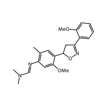 COc1ccccc1C1=NOC(c2cc(C)c(N=CN(C)C)cc2OC)C1